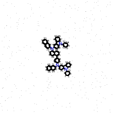 C1=CCCC(n2c3ccccc3c3cc(N(c4ccc(-c5cccc6c(N(c7ccc8ccccc8c7)c7ccc8c(c7)c7ccccc7n8-c7ccccc7)cccc56)cc4)c4ccc5ccccc5c4)ccc32)=C1